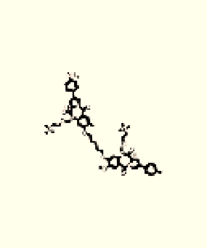 COc1cc2c(cc1OCCCCCOc1cc3c(cc1C)C(=O)N1C=C(c4ccc(N)cc4)C[C@H]1C(=O)N3COCC[Si](C)(C)C)N(COCC[Si](C)(C)C)C(=O)[C@@H]1CC(c3ccc(C)cc3)=CN1C2=O